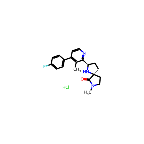 Cc1c(-c2ccc(F)cc2)ccnc1[C@H]1CC[C@@]2(CCN(C)C2=O)N1.Cl